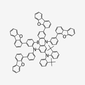 CC(C)(C)c1ccccc1N(c1cc2c3c(c1)N(c1cccc(-c4cccc5c4oc4ccccc45)c1)c1cc(-c4cccc5c4oc4ccccc45)ccc1B3c1ccc(-c3cccc4c3oc3ccccc34)cc1N2c1cccc(-c2cccc3c2oc2ccccc23)c1)c1ccccc1C(C)(C)C